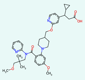 COCC(C)(C)CN(C(=O)c1ccc(OC)cc1N1CCC(COc2cc(C(CC(=O)O)C3CC3)ccn2)CC1)c1ccccn1